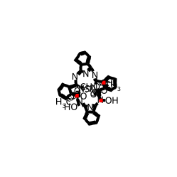 CO[Si](CO)(OC)O[Si]1(O[Si](CO)(OC)OC)n2c3c4ccccc4c2/N=C2N=C(/N=c4/c5ccccc5/c(n41)=N/C1=NC(=N\3)/c3ccccc31)c1ccccc1\2